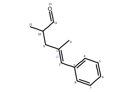 C/C(=C\c1ccccc1)CC(C)C=O